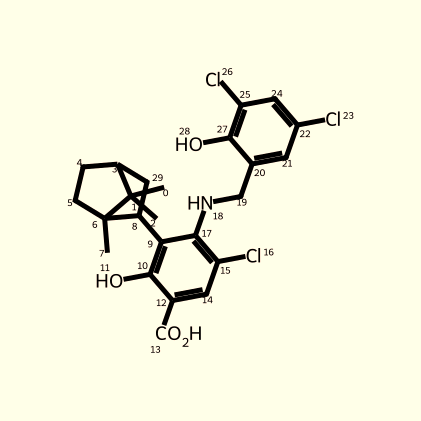 CC1(C)C2CCC1(C)C(c1c(O)c(C(=O)O)cc(Cl)c1NCc1cc(Cl)cc(Cl)c1O)C2